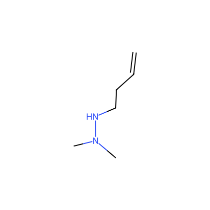 C=CCCNN(C)C